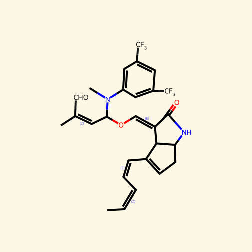 C/C=C\C=C/C1=CCC2NC(=O)/C(=C/OC(/C=C(/C)C=O)N(C)c3cc(C(F)(F)F)cc(C(F)(F)F)c3)C12